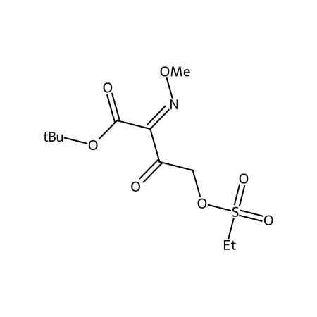 CCS(=O)(=O)OCC(=O)C(=NOC)C(=O)OC(C)(C)C